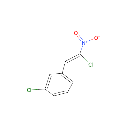 O=[N+]([O-])C(Cl)=Cc1cccc(Cl)c1